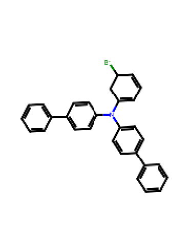 BrC1C=CC=C(N(c2ccc(-c3ccccc3)cc2)c2ccc(-c3ccccc3)cc2)C1